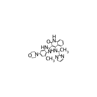 Cc1cc(N2CCOCC2)cc2[nH]c(-c3c(NC(C)c4ncccn4)c4ccccc4[nH]c3=O)nc12